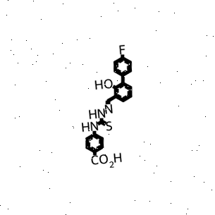 O=C(O)c1ccc(NC(=S)NN=Cc2cccc(-c3ccc(F)cc3)c2O)cc1